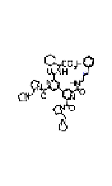 O=C(NC/C=C/c1ccccc1)c1cc(-c2cc(C(=O)NC(C(=O)O)C3CCCCC3)nc(C(=O)N3CCCC3CN3CCCC3)c2)cc(C(=O)N2CCCC2CN2CCCC2)n1